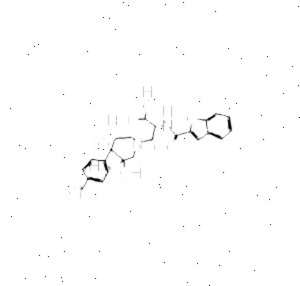 CC(C)[C@@H](NC(=O)c1cc2ccccc2o1)C(=O)N1CC[C@](O)(c2ccc(Cl)cc2)C(C)(C)C1